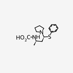 C[C@H](C[C@H](Sc1ccccc1)N1CCCC1)NC(=O)O